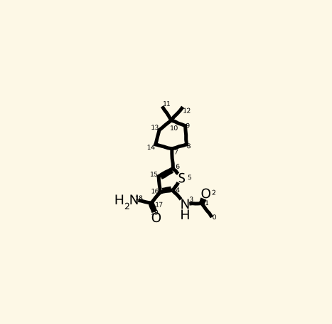 CC(=O)Nc1sc(C2CCC(C)(C)CC2)cc1C(N)=O